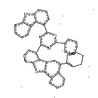 C1=CC(c2cc3c(oc4cccc(-c5nc(-c6ccccc6)nc(-c6cccc7oc8ccccc8c67)n5)c43)c3ccccc23)=CCC1